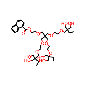 CCC(CO)(CO)COCCOCC(COCCOCC(CC)(CO)CO)(COCCOC(=O)c1cccc2ccccc12)COCCOC(CC)(CO)CO